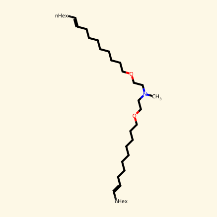 CCCCCCC=CCCCCCCCCOCCN(C)CCOCCCCCCCCC=CCCCCCC